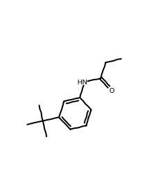 CCC(=O)Nc1cccc(C(C)(C)C)c1